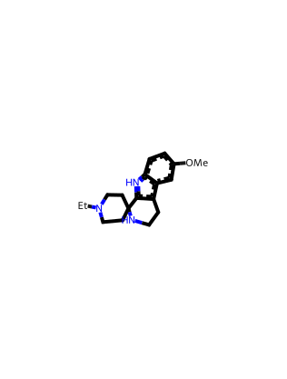 CCN1CCC2(CC1)NCCc1c2[nH]c2ccc(OC)cc12